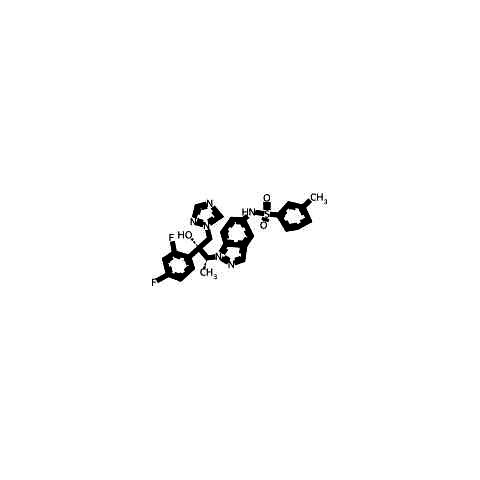 Cc1cccc(S(=O)(=O)Nc2ccc3c(cnn3[C@H](C)[C@](O)(Cn3cncn3)c3ccc(F)cc3F)c2)c1